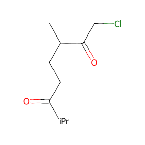 CC(C)C(=O)CCC(C)C(=O)CCl